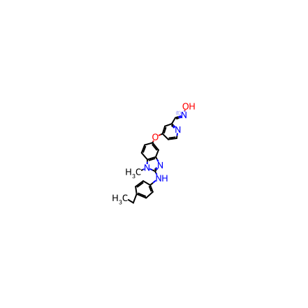 CCc1ccc(Nc2nc3cc(Oc4ccnc(/C=N/O)c4)ccc3n2C)cc1